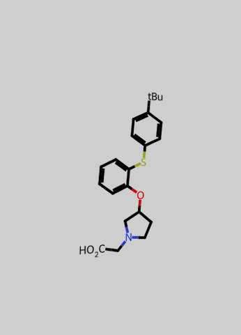 CC(C)(C)c1ccc(Sc2ccccc2OC2CCN(CC(=O)O)C2)cc1